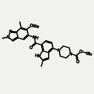 COc1c(NC(=O)c2ccc(N3CCN(C(=O)OC(C)(C)C)CC3)c3cc(C)[nH]c23)cc2cn(C)nc2c1C